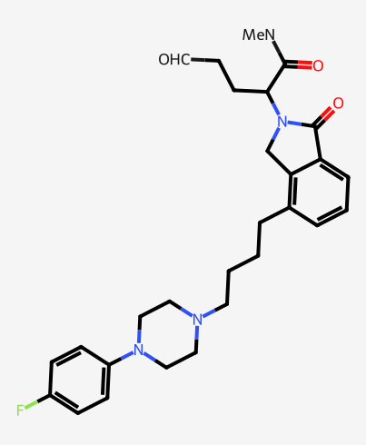 CNC(=O)C(CCC=O)N1Cc2c(CCCCN3CCN(c4ccc(F)cc4)CC3)cccc2C1=O